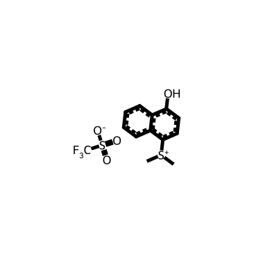 C[S+](C)c1ccc(O)c2ccccc12.O=S(=O)([O-])C(F)(F)F